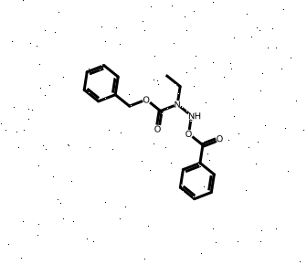 CCN(NOC(=O)c1ccccc1)C(=O)OCc1ccccc1